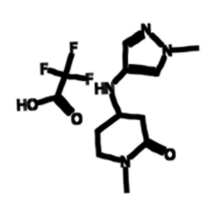 CN1CCC(Nc2cnn(C)c2)CC1=O.O=C(O)C(F)(F)F